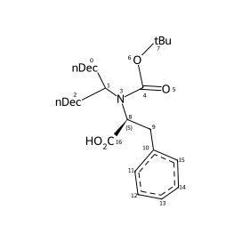 CCCCCCCCCCC(CCCCCCCCCC)N(C(=O)OC(C)(C)C)[C@@H](Cc1ccccc1)C(=O)O